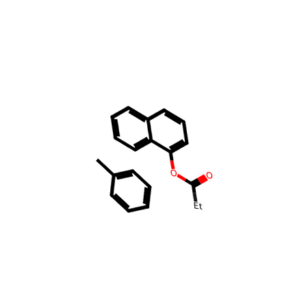 CCC(=O)Oc1cccc2ccccc12.Cc1ccccc1